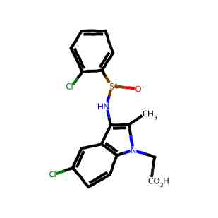 Cc1c(N[S+]([O-])c2ccccc2Cl)c2cc(Cl)ccc2n1CC(=O)O